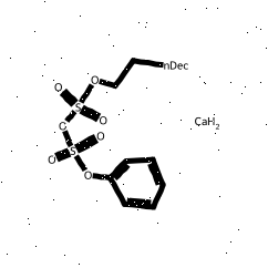 CCCCCCCCCCCCOS(=O)(=O)OS(=O)(=O)Oc1ccccc1.[CaH2]